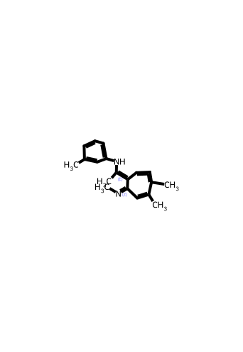 C/N=C1/C=C(C)C(C)=C=C/C1=C(/C)Nc1cccc(C)c1